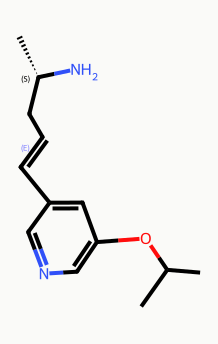 CC(C)Oc1cncc(/C=C/C[C@H](C)N)c1